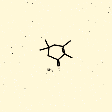 CC1=C(C)C(=O)CC(C)(C)C1.N